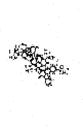 C/C=C\C1=C(C)OC2C1=CC=CC2(C)N(c1ccc(C(C)C)cc1)c1cc(C(C)C)c2ccc3c(N(c4ccc(C(C)C)cc4)c4cccc5c4oc4ccccc45)cc(C(C)C)c4ccc1c2c43